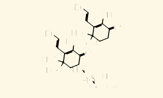 CCC=CC1=C(C)C(=O)CCC1(C)C.CCC=CC1=C(C)C(=O)CCC1(C)C.O=C(O)O.O=C(O)O